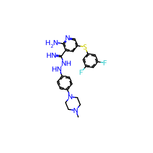 CN1CCN(c2ccc(NNC(=N)c3cc(Sc4cc(F)cc(F)c4)cnc3N)cc2)CC1